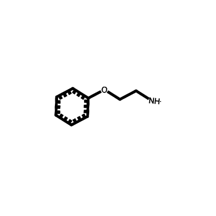 [NH]CCOc1ccccc1